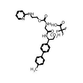 Cc1ccc(-c2ccc(C(CC(=O)O)NC(=O)CNC(=O)OCCNc3ccccn3)cc2)cc1.O=C(O)C(F)(F)F